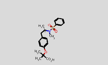 C[C@@H](Cc1ccc(OC(C)(C)C(=O)O)cc1)N(C)S(=O)(=O)c1ccccc1